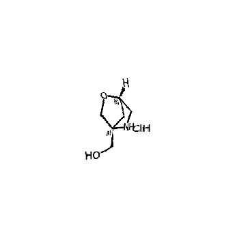 Cl.OC[C@]12CO[C@H](CN1)C2